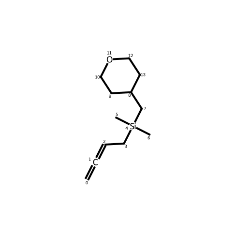 C=C=CC[Si](C)(C)CC1CCOCC1